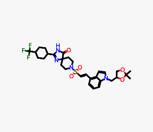 CC1(C)OCC(Cn2ccc3c(C=CS(=O)(=O)N4CCC5(CC4)N=C(C4CCC(C(F)(F)F)CC4)NC5=O)cccc32)O1